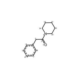 O=C(Cc1ccncc1)N1CCCCC1